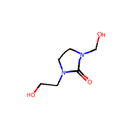 O=C1N(CO)CCN1CCO